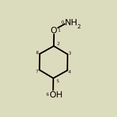 NOC1CCC(O)CC1